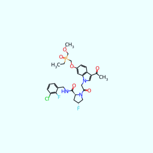 CCP(=O)(COC)COc1ccc2c(C(C)=O)cn(CC(=O)N3C[C@H](F)C[C@H]3C(=O)NCc3cccc(Cl)c3F)c2c1